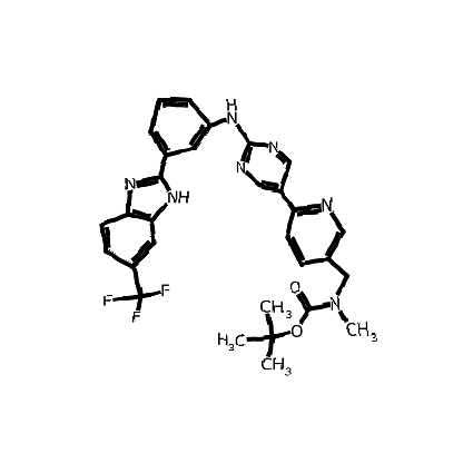 CN(Cc1ccc(-c2cnc(Nc3cccc(-c4nc5ccc(C(F)(F)F)cc5[nH]4)c3)nc2)nc1)C(=O)OC(C)(C)C